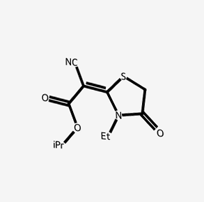 CCN1C(=O)CSC1=C(C#N)C(=O)OC(C)C